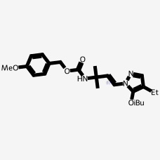 CCc1cnn(/C=C/C(C)(C)NC(=O)OCc2ccc(OC)cc2)c1OCC(C)C